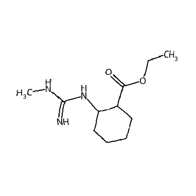 CCOC(=O)C1CCCCC1NC(=N)NC